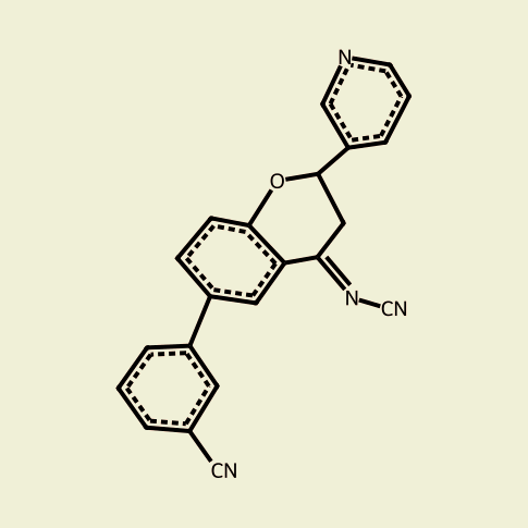 N#CN=C1CC(c2cccnc2)Oc2ccc(-c3cccc(C#N)c3)cc21